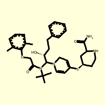 Cc1cccc(C)c1OCC(=O)N(C([C@H](O)CCc1ccccc1)N1C=CC(S[C@@H]2CCNC(C(N)=O)C2)=CC1)C(C)(C)C